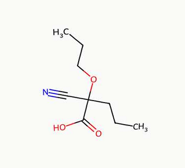 CCCOC(C#N)(CCC)C(=O)O